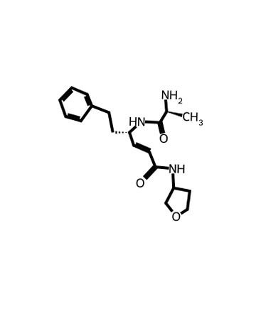 C[C@H](N)C(=O)N[C@H](C=CC(=O)NC1CCOC1)CCc1ccccc1